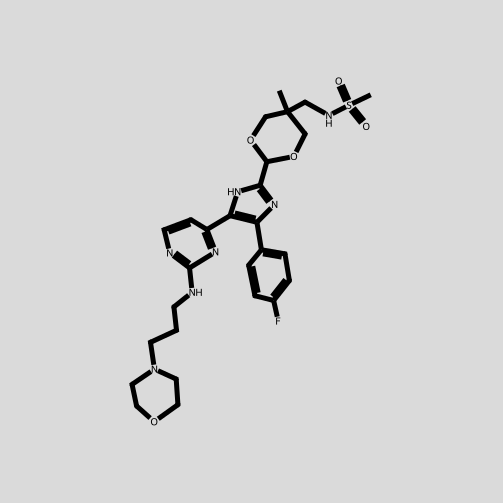 CC1(CNS(C)(=O)=O)COC(c2nc(-c3ccc(F)cc3)c(-c3ccnc(NCCCN4CCOCC4)n3)[nH]2)OC1